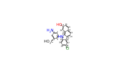 Nc1cccc(C(=O)O)c1.Oc1ccc2ccc3c4cc(Cl)ccc4[nH]c3c2c1